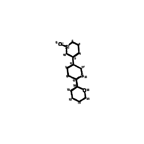 [O-][S+]1CCCC(C2CCC(C3CCCCO3)SC2)C1